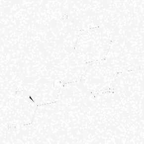 OC[C@@H](O)CNc1nnc(Cl)c2ccc(Br)cc12